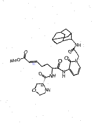 COC(=O)/C=C/CCC(NC(=O)[C@H]1COCCN1)C(=O)Nc1cccn(CC(=O)NC2C3CC4CC(C3)CC2C4)c1=O